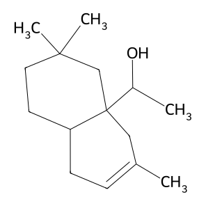 CC1=CCC2CCC(C)(C)CC2(C(C)O)C1